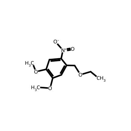 CCOCc1cc(OC)c(OC)cc1[N+](=O)[O-]